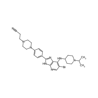 CC(C)N1CCC(Nc2c(Br)cnc3[nH]c(-c4ccc(N5CCN(CCC#N)CC5)cc4)nc23)CC1